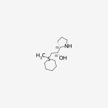 CS1(C[C@@H](O)[C@@H]2CCCN2)CCCCC1